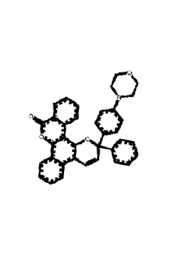 O=c1oc2c3ccccc3c3c(c2c2ccccc12)OC(c1ccccc1)(c1ccc(N2CCOCC2)cc1)C=C3